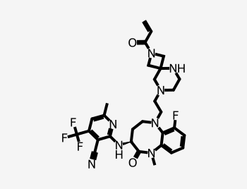 C=CC(=O)N1CC2(CN(CCN3CC[C@H](Nc4nc(C)cc(C(F)(F)F)c4C#N)C(=O)N(C)c4cccc(F)c43)CCN2)C1